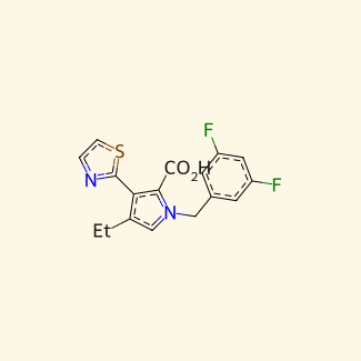 CCc1cn(Cc2cc(F)cc(F)c2)c(C(=O)O)c1-c1nccs1